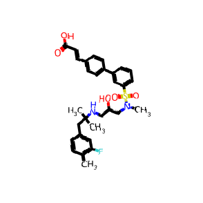 Cc1ccc(CC(C)(C)NCC(O)CN(C)S(=O)(=O)c2cccc(-c3ccc(C=CC(=O)O)cc3)c2)cc1F